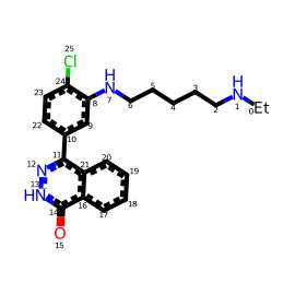 CCNCCCCCNc1cc(-c2n[nH]c(=O)c3ccccc23)ccc1Cl